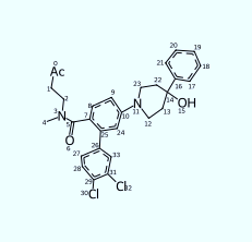 CC(=O)CCN(C)C(=O)c1ccc(N2CCC(O)(c3ccccc3)CC2)cc1-c1ccc(Cl)c(Cl)c1